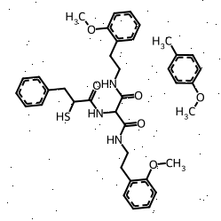 COc1ccc(C)cc1.COc1ccccc1CCNC(=O)C(NC(=O)C(S)Cc1ccccc1)C(=O)NCCc1ccccc1OC